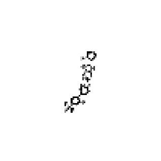 Fc1cc(C(F)(F)F)ccc1-c1ccc(CN2Cc3nc(-c4cccc(F)c4F)[nH]c3C=N2)nn1